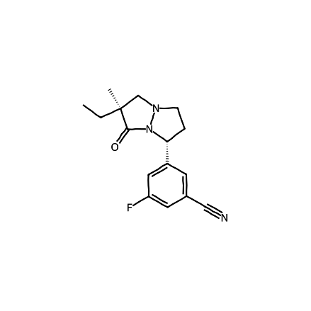 CC[C@@]1(C)CN2CC[C@H](c3cc(F)cc(C#N)c3)N2C1=O